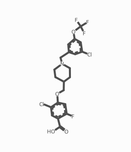 O=C(O)c1cc(Cl)c(OCC2CCN(Cc3cc(Cl)cc(OC(F)(F)F)c3)CC2)cc1F